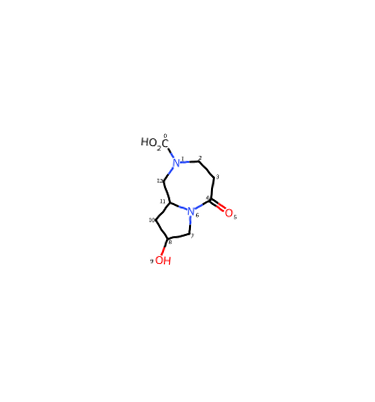 O=C(O)N1CCC(=O)N2CC(O)CC2C1